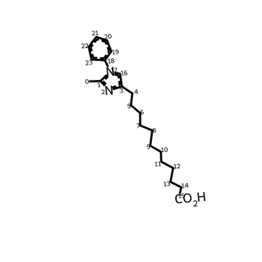 Cc1nc(CCCCCCCCCCCC(=O)O)cn1-c1ccccc1